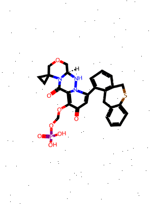 O=C1c2c(OCOP(=O)(O)O)c(=O)cc(-c3cccc4c3Cc3ccccc3SC4)n2N[C@@H]2COCC3(CC3)N12